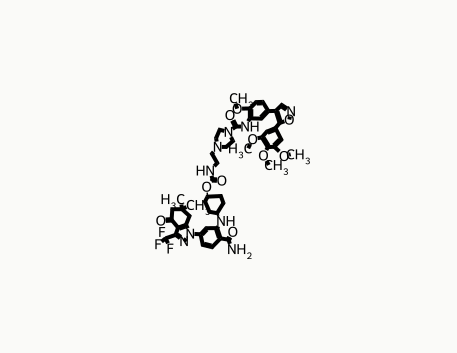 COc1ccc(-c2cnoc2-c2cc(OC)c(OC)c(OC)c2)cc1NC(=O)N1CCN(CCNC(=O)O[C@H]2CC[C@H](Nc3cc(-n4nc(C(F)(F)F)c5c4CC(C)(C)CC5=O)ccc3C(N)=O)CC2)CC1